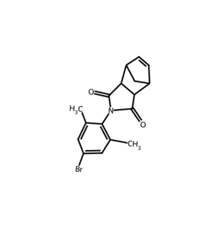 Cc1cc(Br)cc(C)c1N1C(=O)C2C3C=CC(C3)C2C1=O